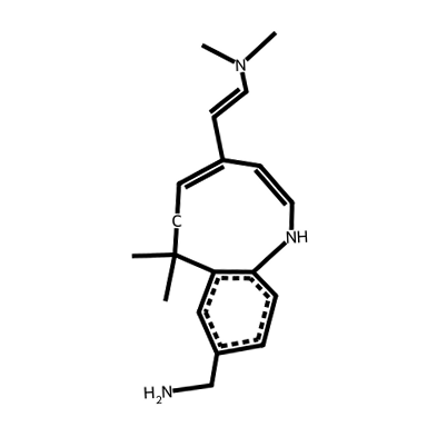 CN(C)/C=C/C1=CCC(C)(C)c2cc(CN)ccc2N/C=C\1